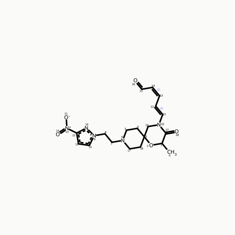 CC1OC2(CCN(CCn3ccc([N+](=O)[O-])n3)CC2)CN(/C=C/C=C\C=O)C1=O